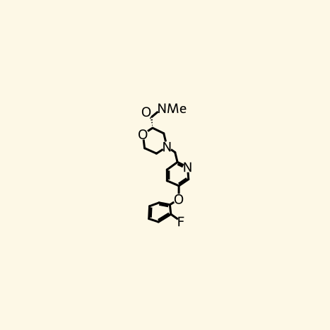 CNC(=O)[C@@H]1CN(Cc2ccc(Oc3ccccc3F)cn2)CCO1